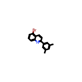 Cc1cc(C)cc(-c2ccc3c(Br)cccc3n2)c1